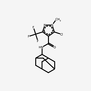 Cn1nc(C(F)(F)F)c(C(=O)NC2C3CC4CC(C3)CC2C4)c1Cl